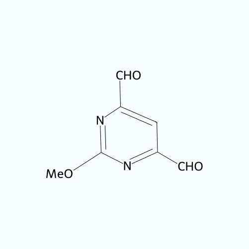 COc1nc(C=O)cc(C=O)n1